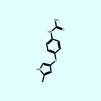 Cc1cc(Oc2ccc(NC(N)=O)cc2)c[nH]1